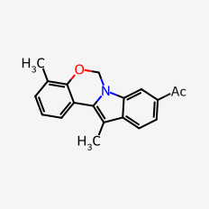 CC(=O)c1ccc2c(C)c3n(c2c1)COc1c(C)cccc1-3